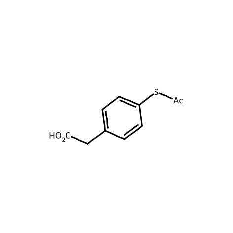 CC(=O)Sc1ccc(CC(=O)O)cc1